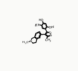 CCc1cc(-c2onc(C)c2-c2ccc3c(c2)CCN(C)C3)c(O)cc1O